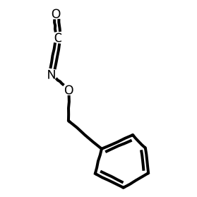 O=C=NOCc1ccccc1